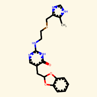 Cc1[nH]cnc1CSCCNc1ncc(CC2Oc3ccccc3O2)c(=O)[nH]1